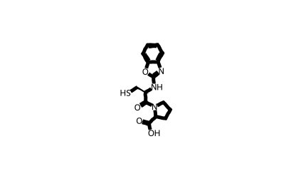 O=C(O)C1CCCN1C(=O)[C@@H](CS)Nc1nc2ccccc2o1